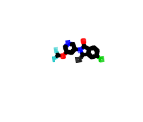 CCC1c2cc(Cl)ccc2C(=O)N1c1cncc(OC(F)F)c1